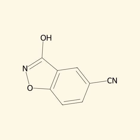 N#Cc1ccc2onc(O)c2c1